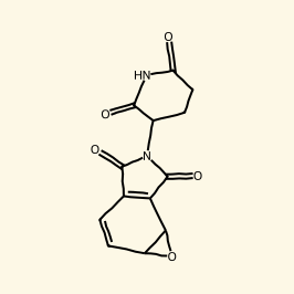 O=C1CCC(N2C(=O)C3=C(C2=O)C2OC2C=C3)C(=O)N1